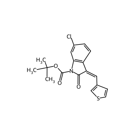 CC(C)(C)OC(=O)N1C(=O)C(=Cc2ccsc2)c2ccc(Cl)cc21